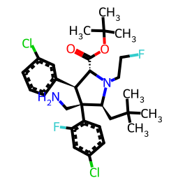 CC(C)(C)C[C@@H]1N(CCF)[C@@H](C(=O)OC(C)(C)C)[C@H](c2cccc(Cl)c2)[C@@]1(CN)c1ccc(Cl)cc1F